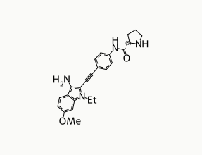 CCn1c(C#Cc2ccc(NC(=O)[C@@H]3CCCN3)cc2)c(N)c2ccc(OC)cc21